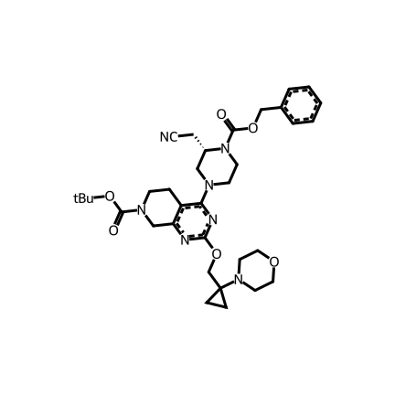 CC(C)(C)OC(=O)N1CCc2c(nc(OCC3(N4CCOCC4)CC3)nc2N2CCN(C(=O)OCc3ccccc3)[C@@H](CC#N)C2)C1